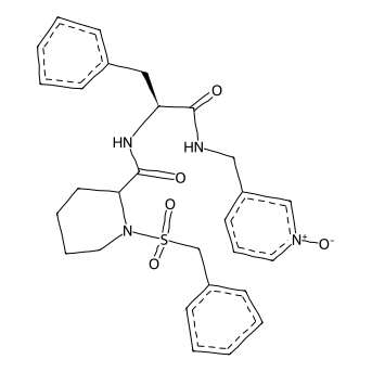 O=C(N[C@@H](Cc1ccccc1)C(=O)NCc1ccc[n+]([O-])c1)C1CCCCN1S(=O)(=O)Cc1ccccc1